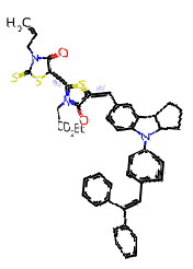 C=CCN1C(=O)/C(=c2\s/c(=C/c3ccc4c(c3)C3CCCC3N4c3ccc(C=C(c4ccccc4)c4ccccc4)cc3)c(=O)n2CC(=O)OCC)SC1=S